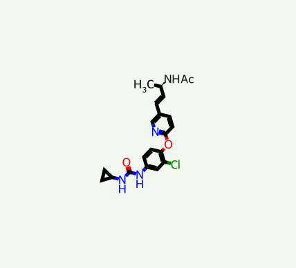 CC(=O)N[C@@H](C)/C=C/c1ccc(Oc2ccc(NC(=O)NC3CC3)cc2Cl)nc1